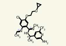 C/C=N/c1cc(Cl)c(OCCOC2CC2)cc1/C(=N\C)N[C@H](C)c1cc(N)nc(C(F)(F)F)c1